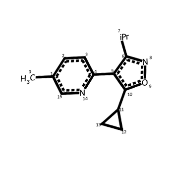 Cc1ccc(-c2c(C(C)C)noc2C2CC2)nc1